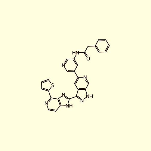 O=C(Cc1ccccc1)Nc1cncc(-c2cc3c(-c4nc5c(-c6cccs6)nccc5[nH]4)n[nH]c3cn2)c1